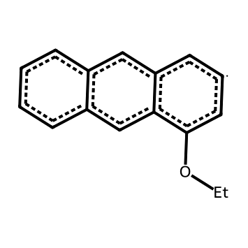 CCOc1c[c]cc2cc3ccccc3cc12